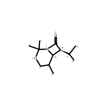 CC1COC(C)(C)N2C(=O)[C@@H](C(C)C)C12